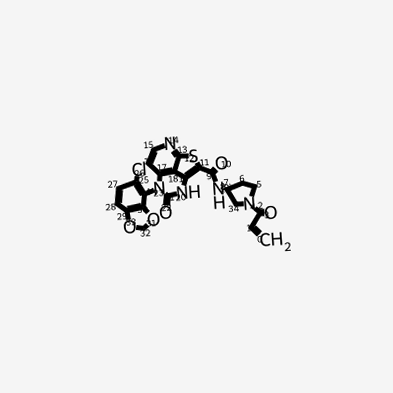 C=CC(=O)N1CC[C@@H](NC(=O)c2sc3nccc4c3c2NC(=O)N4c2c(Cl)ccc3c2OCO3)C1